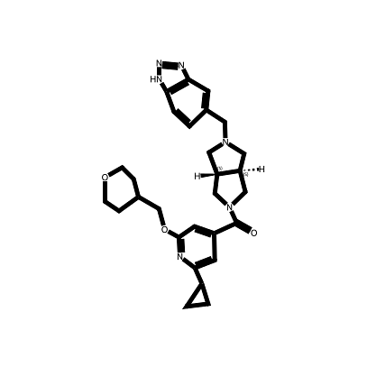 O=C(c1cc(OCC2CCOCC2)nc(C2CC2)c1)N1C[C@@H]2CN(Cc3ccc4[nH]nnc4c3)C[C@H]2C1